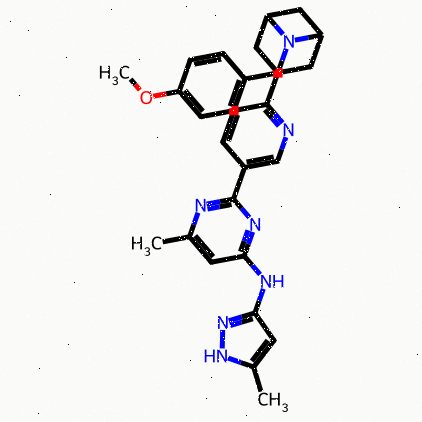 COc1ccc(CN2C3CC(c4ccc(-c5nc(C)cc(Nc6cc(C)[nH]n6)n5)cn4)CC2C3)cc1